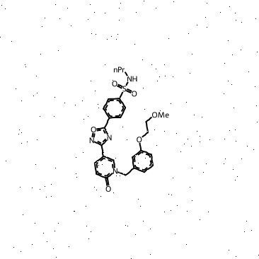 CCCNS(=O)(=O)c1ccc(-c2nc(-c3ccc(=O)n(Cc4cccc(OCCOC)c4)c3)no2)cc1